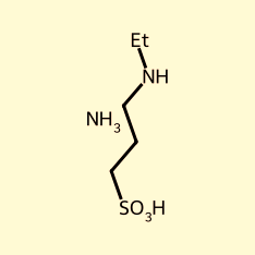 CCNCCCS(=O)(=O)O.N